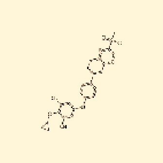 CS(=O)(=O)c1cnc2cc(-c3ccc(Oc4cc(Cl)c(OC5CC5)c(C#N)c4)cc3)ccc2n1